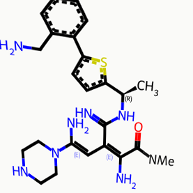 CNC(=O)/C(N)=C(/C=C(\N)N1CCNCC1)C(=N)N[C@H](C)c1ccc(-c2ccccc2CN)s1